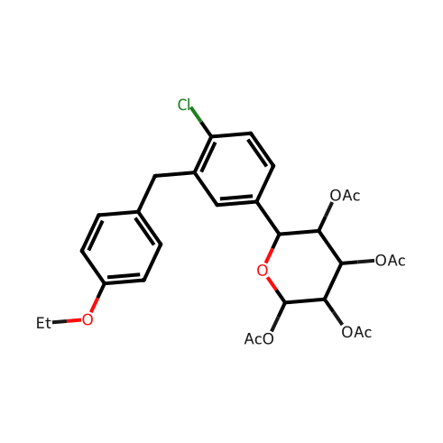 CCOc1ccc(Cc2cc(C3OC(OC(C)=O)C(OC(C)=O)C(OC(C)=O)C3OC(C)=O)ccc2Cl)cc1